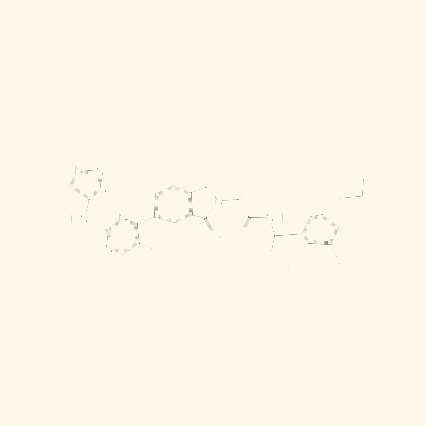 CCOc1cc(F)cc(C(CO)NC(=O)C(C)N2Cc3ccc(-c4nc(Nc5cn(C)nn5)ncc4Cl)cc3C2=O)c1